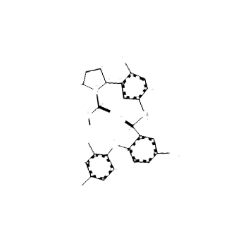 Cc1cc(F)ccc1Oc1ccc(C(F)(F)F)cc1C(=O)Nc1ccc(F)c(C2CCCN2C(=O)OC(C)(C)C)c1